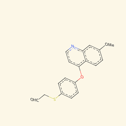 COc1ccc2c(Oc3ccc(SCC=O)cc3)ccnc2c1